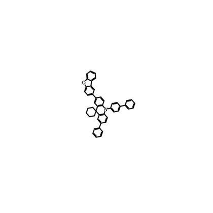 c1ccc(-c2ccc(N3c4ccc(-c5ccccc5)cc4C4(CCCCC4)c4cc(-c5ccc6oc7ccccc7c6c5)ccc43)cc2)cc1